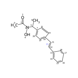 CC(=O)N(O)C(C)c1ccc(/C=C/c2ccccc2)cc1